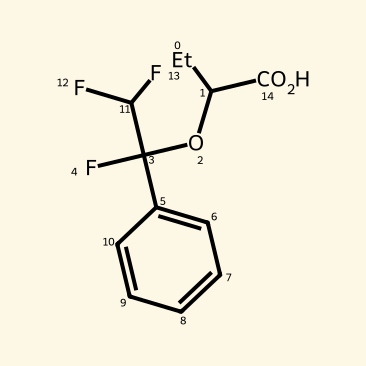 CCC(OC(F)(c1ccccc1)C(F)F)C(=O)O